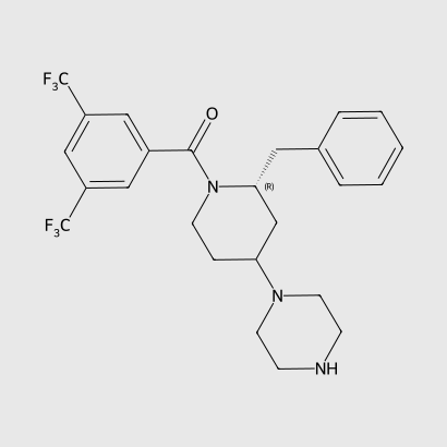 O=C(c1cc(C(F)(F)F)cc(C(F)(F)F)c1)N1CCC(N2CCNCC2)C[C@H]1Cc1ccccc1